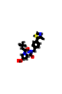 Cc1ncsc1-c1ccc(CNC(=O)[C@@H]2CC(O)CN2C(=O)CC(C)(C)C)cc1